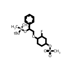 CC(C)(C)[Si](C)(C)OC(COC1CCC(OS(C)(=O)=O)CC1F)c1ccccc1